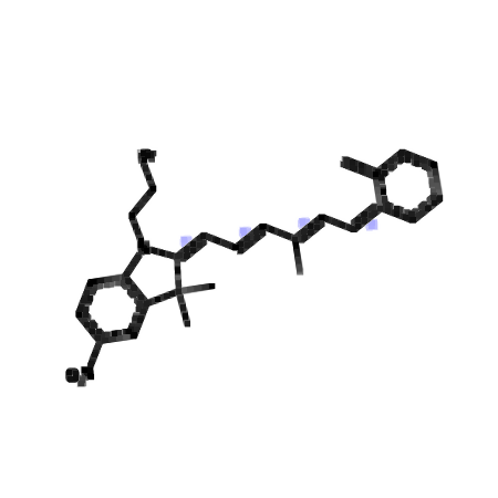 C=c1cccc/c1=C/C=C(C)/C=C/C=C1/N(CCC(C)C)c2ccc([N+](=O)[O-])cc2C1(C)C